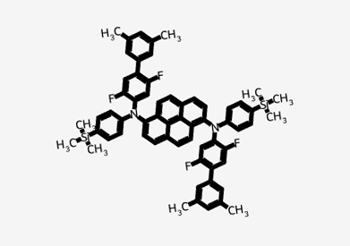 Cc1cc(C)cc(-c2cc(F)c(N(c3ccc([Si](C)(C)C)cc3)c3ccc4ccc5c(N(c6ccc([Si](C)(C)C)cc6)c6cc(F)c(-c7cc(C)cc(C)c7)cc6F)ccc6ccc3c4c65)cc2F)c1